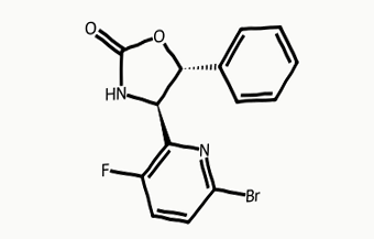 O=C1N[C@H](c2nc(Br)ccc2F)[C@@H](c2ccccc2)O1